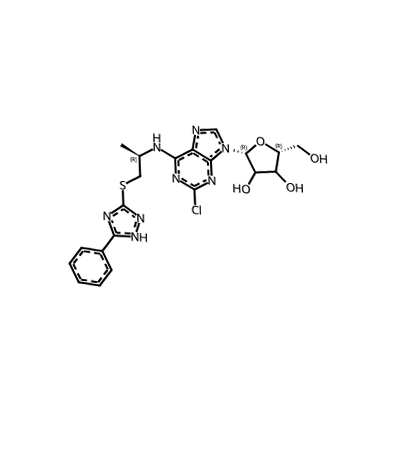 C[C@H](CSc1n[nH]c(-c2ccccc2)n1)Nc1nc(Cl)nc2c1ncn2[C@@H]1O[C@H](CO)C(O)C1O